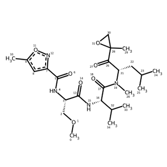 COC[C@H](NC(=O)c1cc(C)on1)C(=O)N[C@H](C(=O)N(C)[C@@H](CC(C)C)C(=O)C1(C)CO1)C(C)C